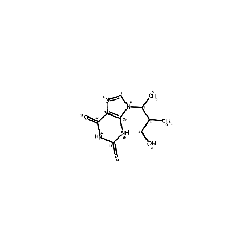 CC(CO)C(C)n1cnc2c(=O)[nH]c(=O)[nH]c21